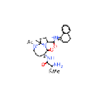 CN[C@@H](N)C(=O)N[C@H]1CCCN(C(C)=O)C2(C)CCC(C(=O)N[C@@H]3CCCc4ccccc43)N2C1=O